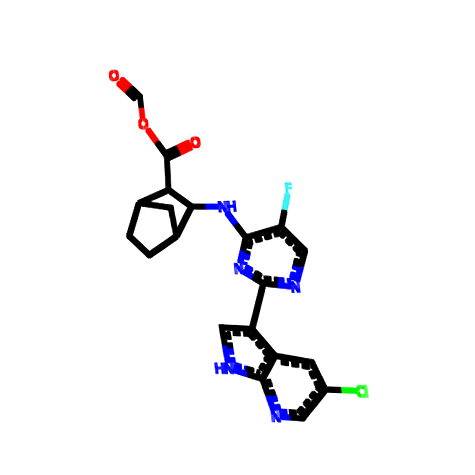 O=COC(=O)C1C2CCC(C2)C1Nc1nc(-c2c[nH]c3ncc(Cl)cc23)ncc1F